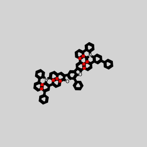 c1ccc(-c2ccc(N(c3ccc4cc5c(cc4c3)oc3c(-c4ccccc4)c4oc6cc7cc(N(c8ccccc8-c8ccccc8)c8ccc(-c9ccccc9)cc8-c8ccccc8)ccc7cc6c4cc35)c3ccccc3-c3ccccc3)c(-c3ccccc3)c2)cc1